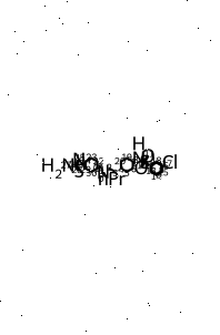 CCCN(CC[C@H]1CC[C@H](NS(=O)(=O)c2cccc(Cl)c2)CC1)[C@H]1CCc2nc(N)sc2C1